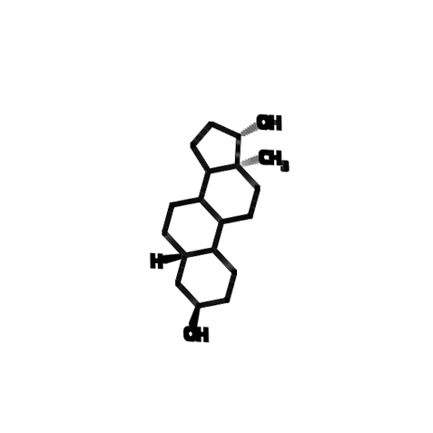 C[C@]12CCC3C(CC[C@H]4C[C@H](O)CCC34)C1CC[C@@H]2O